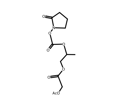 CC(=O)OCC(=O)OCC(C)OC(=O)ON1CCCC1=O